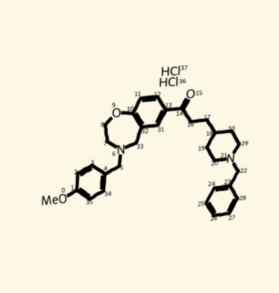 COc1ccc(CN2CCOc3ccc(C(=O)CCC4CCN(Cc5ccccc5)CC4)cc3C2)cc1.Cl.Cl